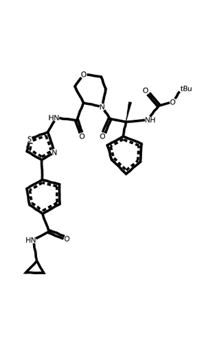 CC(C)(C)OC(=O)N[C@@](C)(C(=O)N1CCOCC1C(=O)Nc1nc(-c2ccc(C(=O)NC3CC3)cc2)cs1)c1ccccc1